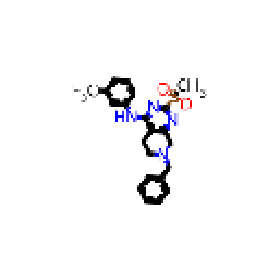 CS(=O)(=O)c1nc2c(c(Nc3cccc(C(F)(F)F)c3)n1)CCN(Cc1ccccc1)C2